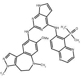 COc1cc2c(cc1Nc1nc(Nc3ccc4nccnc4c3P(C)(C)=O)c3cc[nH]c3n1)-c1cnn(C)c1CCN2C